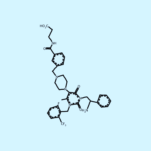 Cc1c(N2CCN(Cc3cccc(C(=O)NCCC(=O)O)c3)CC2)c(=O)n(CC(N)c2ccccc2)c(=O)n1Cc1c(F)cccc1C(F)(F)F